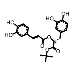 CC(C)(C)OC(=O)[C@@H](Cc1ccc(O)c(O)c1)OC(=O)C=Cc1ccc(O)c(O)c1